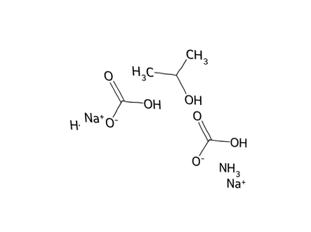 CC(C)O.N.O=C([O-])O.O=C([O-])O.[H].[Na+].[Na+]